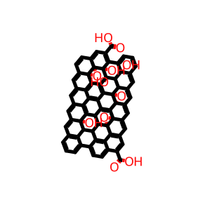 O=C(O)C1=C2C3=CC=CC4=CC5=CC6=CC7=Cc8cc(C(=O)O)c9ccc%10c%11c9c8C89OC78C7=C8c%12c%13c%14c%15c%16c(cc%17c(c%12%16)=C%12C8C9C%11C8c9c(cccc9-%10)C=C(C=%17)C%128O)C=C8C=CC(=C1)C1(OC8%151)C2(O)C%14(O)C(C5C%131OC671)C43O